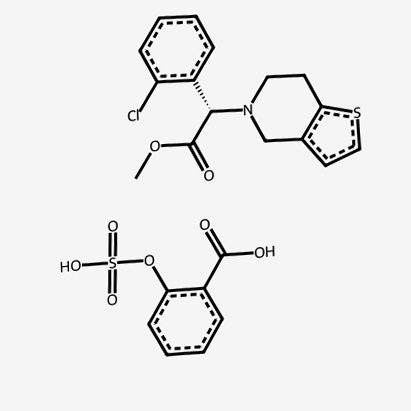 COC(=O)[C@H](c1ccccc1Cl)N1CCc2sccc2C1.O=C(O)c1ccccc1OS(=O)(=O)O